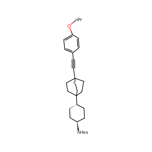 CCCCCC[C@H]1CC[C@H](C23CCC(C#Cc4ccc(OCCC)cc4)(CC2)CC3)CC1